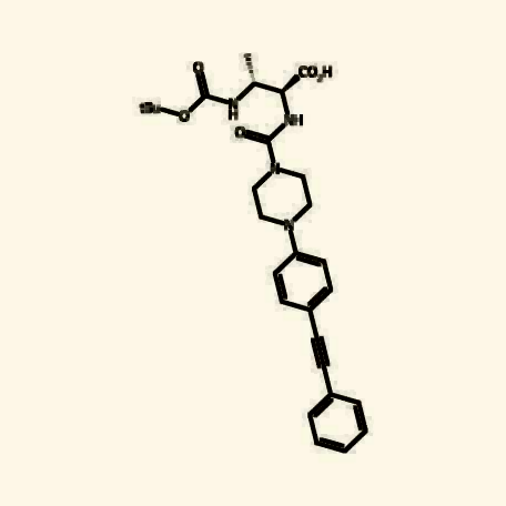 C[C@@H](NC(=O)OC(C)(C)C)[C@H](NC(=O)N1CCN(c2ccc(C#Cc3ccccc3)cc2)CC1)C(=O)O